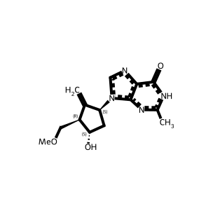 C=C1[C@H](COC)[C@@H](O)C[C@@H]1n1cnc2c(=O)[nH]c(C)nc21